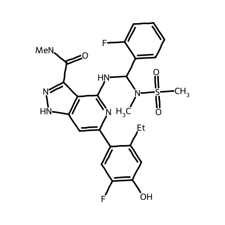 CCc1cc(O)c(F)cc1-c1cc2[nH]nc(C(=O)NC)c2c(NC(c2ccccc2F)N(C)S(C)(=O)=O)n1